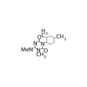 CNc1nc(=O)n(C2CCC(C)CC2C)c(=O)n1C